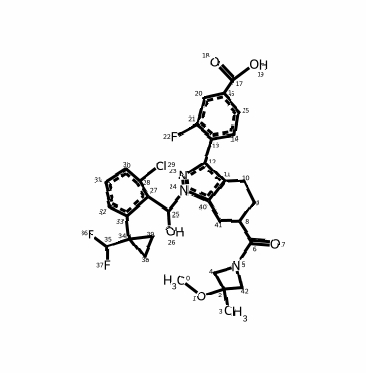 COC1(C)CN(C(=O)C2CCc3c(-c4ccc(C(=O)O)cc4F)nn(C(O)c4c(Cl)cccc4C4(C(F)F)CC4)c3C2)C1